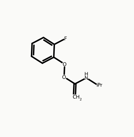 C=C(NC(C)C)OOc1ccccc1F